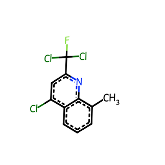 Cc1cccc2c(Cl)cc(C(F)(Cl)Cl)nc12